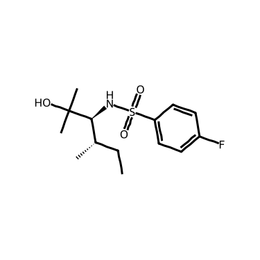 CC[C@H](C)[C@H](NS(=O)(=O)c1ccc(F)cc1)C(C)(C)O